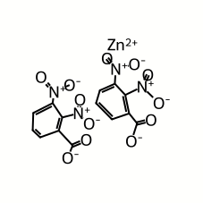 O=C([O-])c1cccc([N+](=O)[O-])c1[N+](=O)[O-].O=C([O-])c1cccc([N+](=O)[O-])c1[N+](=O)[O-].[Zn+2]